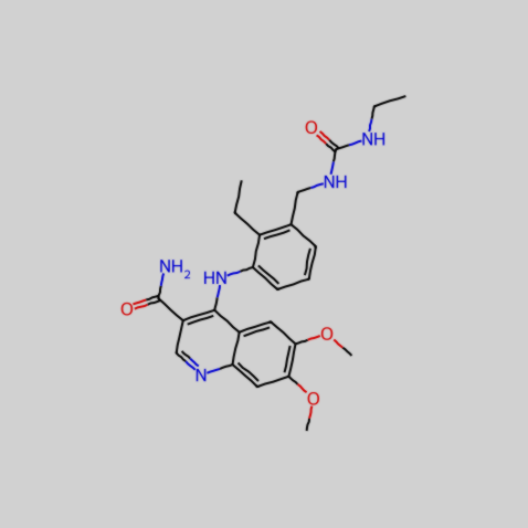 CCNC(=O)NCc1cccc(Nc2c(C(N)=O)cnc3cc(OC)c(OC)cc23)c1CC